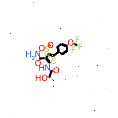 C[C@H](O)C(=O)Nc1sc(-c2ccc(OC(F)(F)F)cc2)c([SH](=O)=O)c1C(N)=O